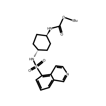 CC(C)(C)OC(=O)N[C@H]1CC[C@H](NS(=O)(=O)c2cccc3cnccc23)CC1